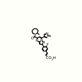 CC1CCCCCN1C(=O)c1cc(-c2cnn(C)c2)n2nc(-c3ccc(/C=C/C(=O)O)cc3F)cc2n1